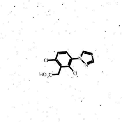 O=C(O)Cc1c(Cl)ccc(-n2cccn2)c1Cl